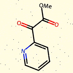 COC(=O)C(=O)c1ccccn1